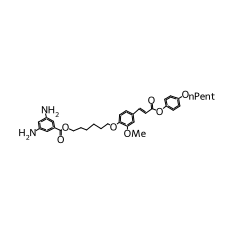 CCCCCOc1ccc(OC(=O)C=Cc2ccc(OCCCCCCOC(=O)c3cc(N)cc(N)c3)c(OC)c2)cc1